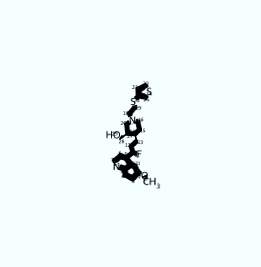 COc1ccc2nccc(C(F)CC[C@@H]3CCN(CCSc4ccsc4)C[C@@H]3CO)c2c1